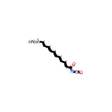 CCCCCCCCCC=CC=CC=CC=CC=CC(=O)N=C=O